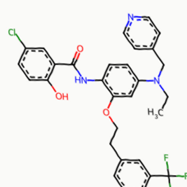 CCN(Cc1ccncc1)c1ccc(NC(=O)c2cc(Cl)ccc2O)c(OCCc2cccc(C(F)(F)F)c2)c1